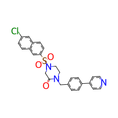 O=C1CN(S(=O)(=O)c2ccc3cc(Cl)ccc3c2)CCN1Cc1ccc(-c2ccncc2)cc1